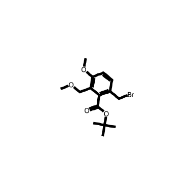 COCc1c(OC)ccc(CBr)c1C(=O)OC(C)(C)C